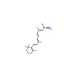 CC(C=CC1=C(C)CCCC1(C)C)=CC=CC(C)=CC(N)=S